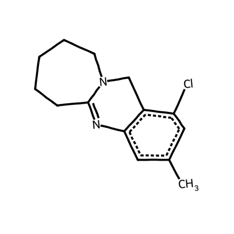 Cc1cc(Cl)c2c(c1)N=C1CCCCCN1C2